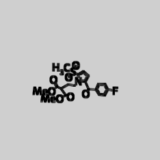 COC(=O)C(CCn1c(C(=O)c2ccc(F)cc2)ccc1S(C)(=O)=O)C(=O)OC